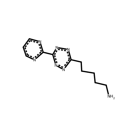 NCCCCCc1nnc(-c2ncccn2)nn1